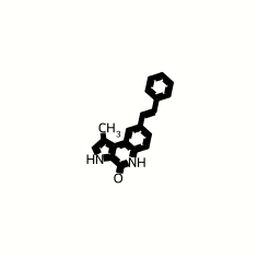 Cc1c[nH]c2c(=O)[nH]c3ccc(/C=C/c4ccccc4)cc3c12